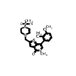 COc1cccc(-c2cn(C)c(=O)c3cc(CN4CCN(S(C)(=O)=O)CC4)sc23)c1C